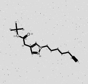 C#CCCCCCn1cc(CC(=O)OC(C)(C)C)cn1